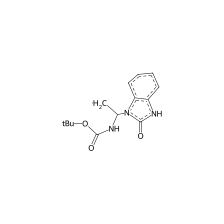 [CH2]C(NC(=O)OC(C)(C)C)n1c(=O)[nH]c2ccccc21